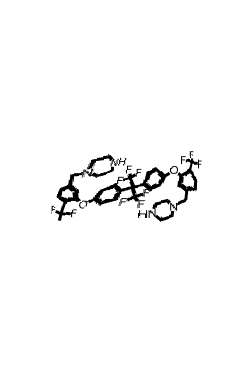 CC(F)(F)c1ccc(CN2CCNCC2)cc1Oc1ccc(C(c2ccc(Oc3cc(CN4CCNCC4)ccc3C(F)(F)F)cc2)(C(F)(F)F)C(F)(F)F)cc1